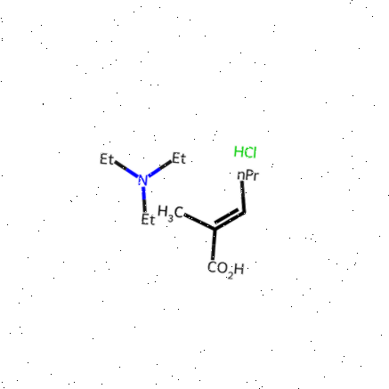 CCCC=C(C)C(=O)O.CCN(CC)CC.Cl